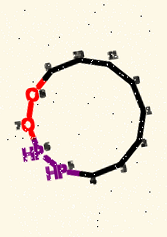 C1CCCCPPOOCCC1